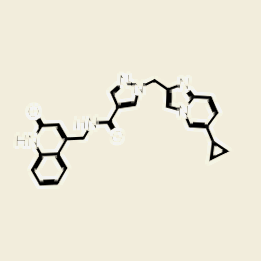 O=C(NCc1cc(=O)[nH]c2ccccc12)c1cnn(Cc2cn3cc(C4CC4)ccc3n2)c1